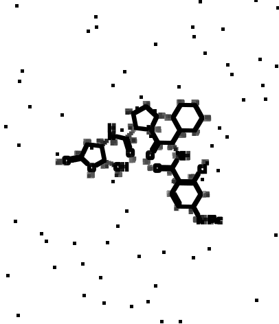 CC(=O)NC1C=CC(C(=O)N[C@H](C(=O)N2CCC[C@H]2C(=O)N[C@H]2CC(=O)O[C@H]2O)C2CCCCC2)=C(Cl)C1